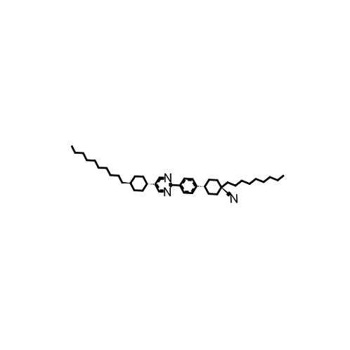 CCCCCCCCCC[C@H]1CC[C@H](c2cnc(-c3ccc([C@H]4CC[C@@](C#N)(CCCCCCCCC)CC4)cc3)nc2)CC1